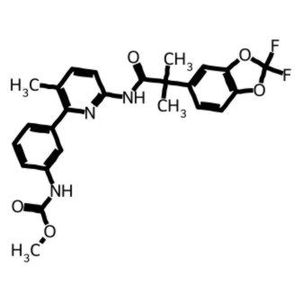 COC(=O)Nc1cccc(-c2nc(NC(=O)C(C)(C)c3ccc4c(c3)OC(F)(F)O4)ccc2C)c1